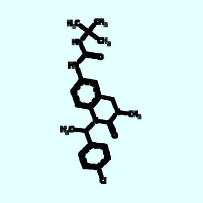 CC(c1ccc(Cl)cc1)N1C(=O)N(C)Cc2cc(NC(=O)NC(C)(C)C)ccc21